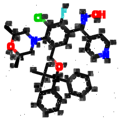 C[C@@H]1CN(c2c(CO[Si](c3ccccc3)(c3ccccc3)C(C)(C)C)cc(C(=NO)c3ccncc3)c(F)c2Cl)C[C@H](C)O1